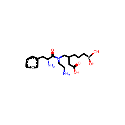 NCCN(CC(CCCB(O)O)CC(=O)O)C(=O)[C@@H](N)Cc1ccccc1